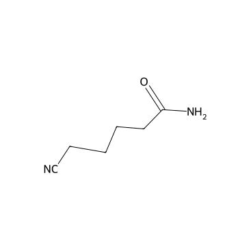 N#CCCCCC(N)=O